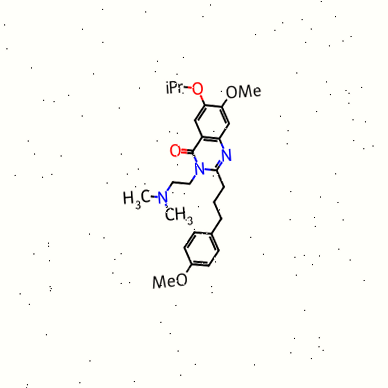 COc1ccc(CCCc2nc3cc(OC)c(OC(C)C)cc3c(=O)n2CCN(C)C)cc1